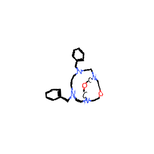 c1ccc(CN2CCCN(Cc3ccccc3)CCN3CCOCCN(CCOCC3)CC2)cc1